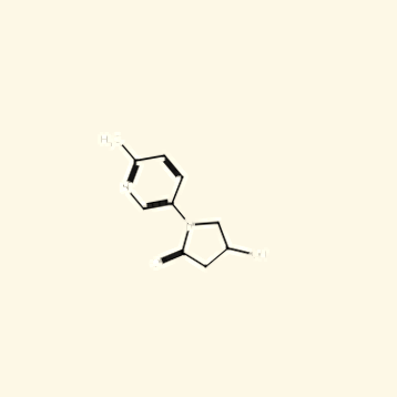 Cc1ccc(N2CC(O)CC2=O)cn1